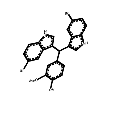 COc1cc(C(c2c[nH]c3ccc(Br)cc23)c2c[nH]c3ccc(Br)cc23)ccc1O